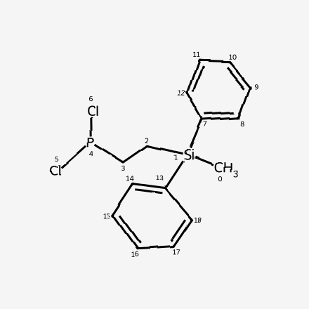 C[Si](CCP(Cl)Cl)(c1ccccc1)c1ccccc1